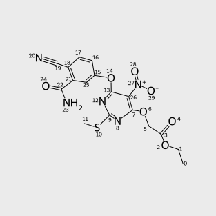 CCOC(=O)COc1nc(SC)nc(Oc2ccc(C#N)c(C(N)=O)c2)c1[N+](=O)[O-]